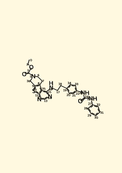 CCOC(=O)N1CCc2c(sc3ncnc(NCCc4ccc(NC(=O)Nc5ccccc5)cc4)c23)C1